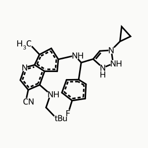 Cc1cc(NC(C2=CN(C3CC3)NN2)c2ccc(F)cc2)cc2c(NCC(C)(C)C)c(C#N)cnc12